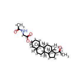 CC(=O)NCC(=O)O[C@@H]1CC[C@@]2(C)[C@H](CC[C@@H]3[C@@H]2CC[C@]2(C)[C@@H](C(C)=O)CC[C@@H]32)C1